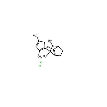 CC1=CC(C)=C(C2(C)[C]([Zr+2])=C3CCC2=C3C)C1.[Cl-].[Cl-]